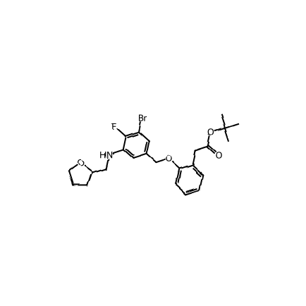 CC(C)(C)OC(=O)Cc1ccccc1OCc1cc(Br)c(F)c(NCC2CCCO2)c1